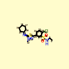 CCNS(=O)(=O)c1cc(-c2nn(C)c(=NC3CCCCC3)s2)ccc1Cl